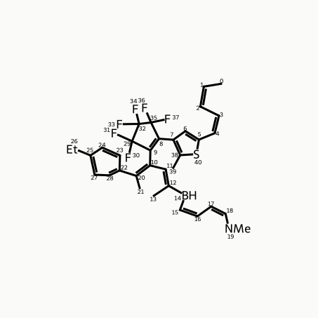 C/C=C\C=C/c1cc(C2=C(C(/C=C(\C)B/C=C\C=C/NC)=C(/C)c3ccc(CC)cc3)C(F)(F)C(F)(F)C2(F)F)c(C)s1